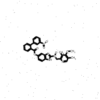 COc1c(C)cnc(C[S+]([O-])c2nc3cc(OC(=O)c4ccccc4-c4cccc([N+](=O)[O-])c4)ccc3[nH]2)c1C